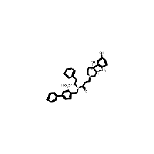 C[C@H]1CN(CCC(=O)N(Cc2ccc(-c3ccccc3)cc2)[C@@H](Cc2ccccc2)C(=O)O)CC[C@@]1(C)c1cccc(O)c1